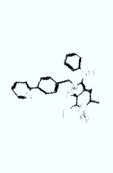 CC(C)C1c2nn(Cc3ccc(-c4ccccn4)cc3)c(Nc3ccccc3)c2C(=O)C(C)[NH+]1[O-]